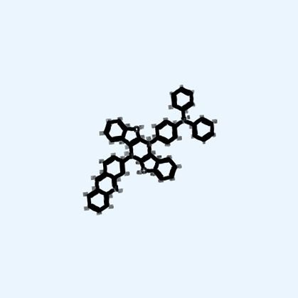 c1ccc(N(c2ccccc2)c2ccc(B3c4oc5ccccc5c4B(c4ccc5cc6ccccc6nc5c4)c4oc5ccccc5c43)cc2)cc1